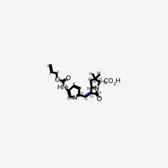 C=CCOC(=O)Nc1ccc(/C=C2/C(=O)N3C2CC(C)(C)[C@@H]3C(=O)O)nc1